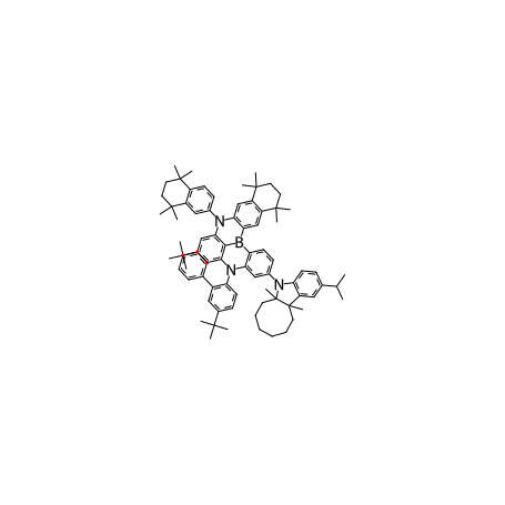 CC(C)c1ccc2c(c1)C1(C)CCCCCCC1(C)N2c1ccc2c(c1)N(c1ccc(C(C)(C)C)cc1-c1ccccc1)c1cc(C(C)(C)C)cc3c1B2c1cc2c(cc1N3c1ccc3c(c1)C(C)(C)CCC3(C)C)C(C)(C)CCC2(C)C